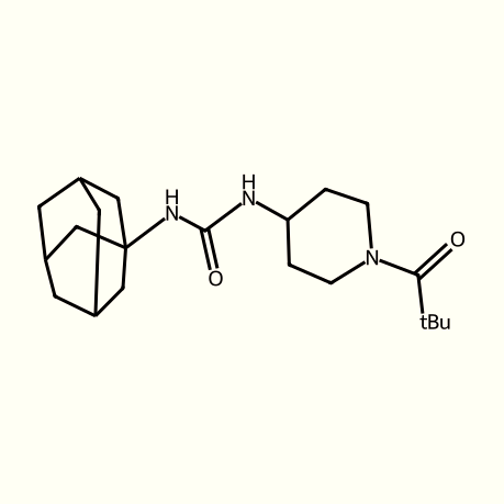 CC(C)(C)C(=O)N1CCC(NC(=O)NC23CC4CC(CC(C4)C2)C3)CC1